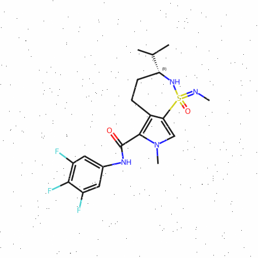 CN=S1(=O)N[C@@H](C(C)C)CCc2c1cn(C)c2C(=O)Nc1cc(F)c(F)c(F)c1